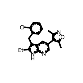 CCc1[nH]c2ncc(-c3c(C)noc3C)cc2c1Cc1ccccc1Cl